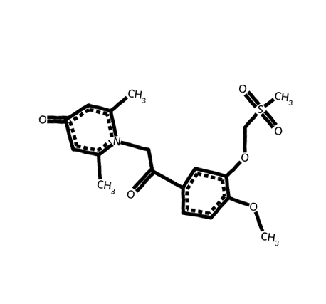 COc1ccc(C(=O)Cn2c(C)cc(=O)cc2C)cc1OCS(C)(=O)=O